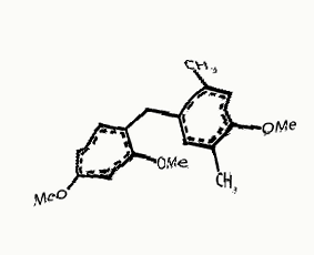 COc1ccc(Cc2cc(C)c(OC)cc2C)c(OC)c1